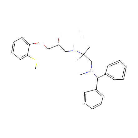 CSc1ccccc1OCC(O)CNC(C)(C)CN(C)C(c1ccccc1)c1ccccc1.Cl.Cl